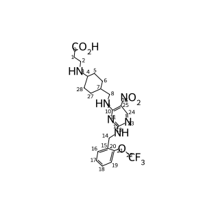 O=C(O)CCNC1CCC(CNc2nc(NCc3ccccc3OC(F)(F)F)ncc2[N+](=O)[O-])CC1